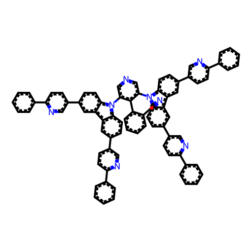 N#Cc1ccccc1-c1c(-n2c3ccc(-c4ccc(-c5ccccc5)nc4)cc3c3cc(-c4ccc(-c5ccccc5)nc4)ccc32)cncc1-n1c2ccc(-c3ccc(-c4ccccc4)nc3)cc2c2cc(-c3ccc(-c4ccccc4)nc3)ccc21